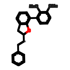 COc1cccc(-c2cccc3c2OC([CH]Cc2ccccc2)C3)c1OC